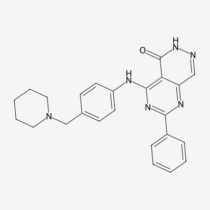 O=c1[nH]ncc2nc(-c3ccccc3)nc(Nc3ccc(CN4CCCCC4)cc3)c12